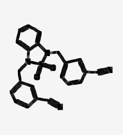 N#Cc1cccc(CN2c3ccccc3N(Cc3cccc(C#N)c3)S2(=O)=O)c1